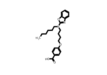 CCCCCCN(CCCCOc1ccc(C(=O)O)cc1)c1nc2ccccc2o1